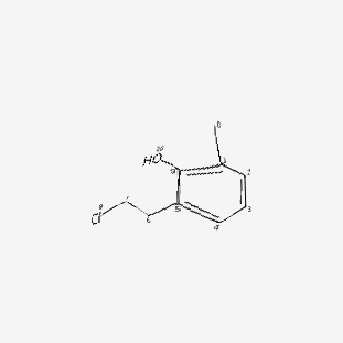 Cc1cccc(CCCl)c1O